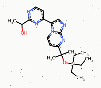 CC[Si](CC)(CC)OC(C)(C)c1ccn2c(-c3ccnc(C(C)O)n3)cnc2n1